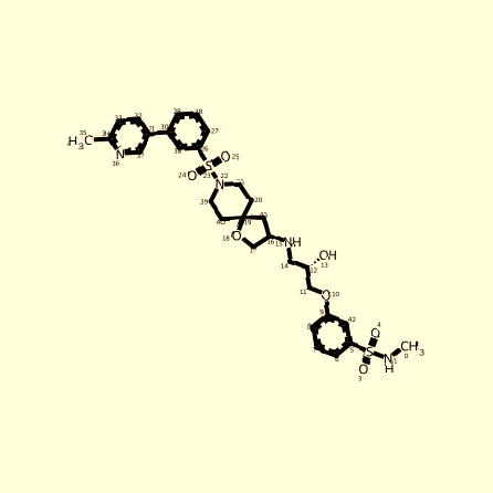 CNS(=O)(=O)c1cccc(OC[C@@H](O)CNC2COC3(CCN(S(=O)(=O)c4cccc(-c5ccc(C)nc5)c4)CC3)C2)c1